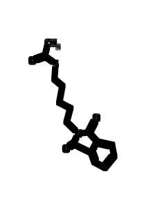 CC(=O)SCCCCCN1C(=O)c2ccccc2C1=O